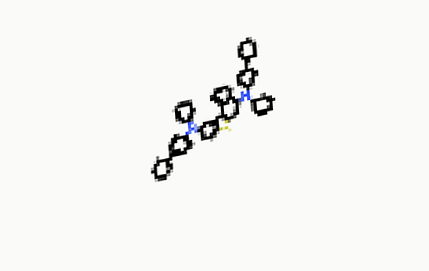 c1ccc(N(c2ccc(C3CCCCC3)cc2)c2ccc3sc4cc(N(c5ccccc5)c5ccc(C6CCCCC6)cc5)c5ccccc5c4c3c2)cc1